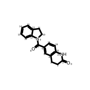 O=C1CCc2cc(C(=O)N3CCc4ccccc43)ccc2N1